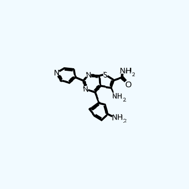 NC(=O)c1sc2nc(-c3ccncc3)nc(-c3cccc(N)c3)c2c1N